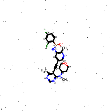 Cc1ncc(C#Cc2c(C)ncnc2N(C)C2CCOCC2)cc1N[S+]([O-])c1ccc(F)cc1F